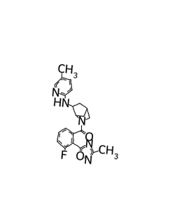 Cc1ccc(NC2CC3CC2N(C(=O)c2cccc(F)c2-c2nc(C)no2)C3)nc1